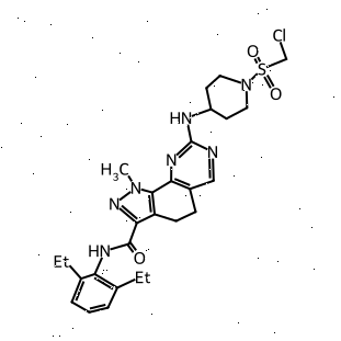 CCc1cccc(CC)c1NC(=O)c1nn(C)c2c1CCc1cnc(NC3CCN(S(=O)(=O)CCl)CC3)nc1-2